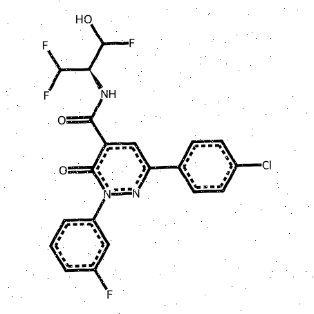 O=C(N[C@H](C(O)F)C(F)F)c1cc(-c2ccc(Cl)cc2)nn(-c2cccc(F)c2)c1=O